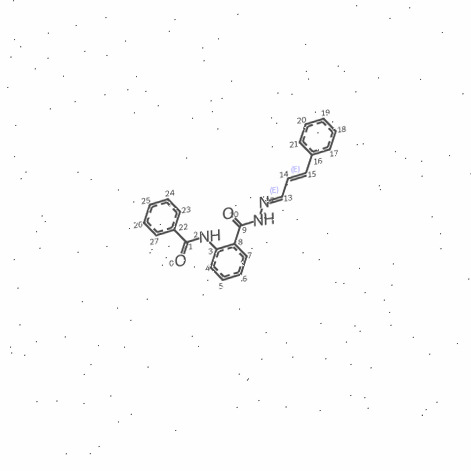 O=C(Nc1ccccc1C(=O)N/N=C/C=C/c1ccccc1)c1ccccc1